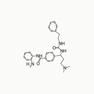 CN(C)CCC(NC(=O)NCCc1ccccc1)c1ccc(C(=O)Nc2ccccc2N)cc1